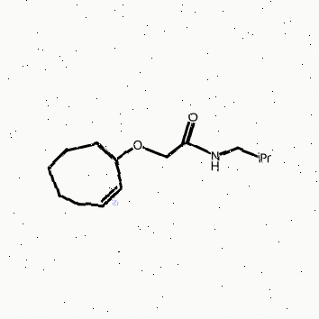 CC(C)CNC(=O)COC1/C=C\CCCCC1